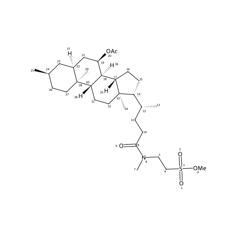 COS(=O)(=O)CCN(C)C(=O)CC[C@@H](C)[C@H]1CC[C@H]2[C@@H]3[C@H](OC(C)=O)C[C@@H]4C[C@H](C)CC[C@]4(C)[C@H]3CC[C@]12C